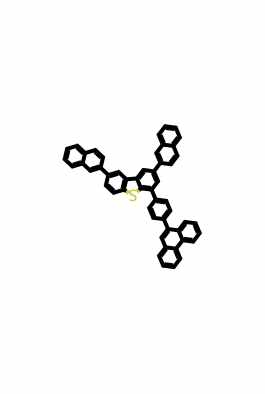 c1ccc2cc(-c3ccc4sc5c(-c6ccc(-c7cc8ccccc8c8ccccc78)cc6)cc(-c6ccc7ccccc7c6)cc5c4c3)ccc2c1